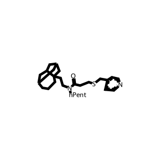 CCCCCN(CCC12CCCC3CC(CC1C3)C2)C(=O)CCSCc1ccncc1